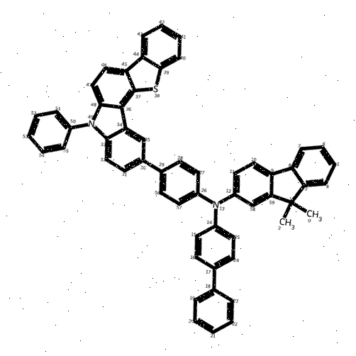 CC1(C)c2ccccc2-c2ccc(N(c3ccc(-c4ccccc4)cc3)c3ccc(-c4ccc5c(c4)c4c6sc7ccccc7c6ccc4n5-c4ccccc4)cc3)cc21